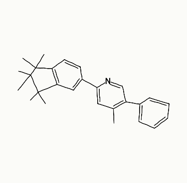 Cc1cc(-c2ccc3c(c2)C(C)(C)C(C)(C)C3(C)C)ncc1-c1ccccc1